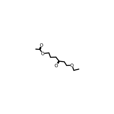 CCOCCC(=O)CCCOC(C)=O